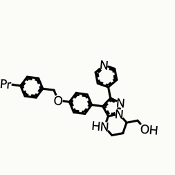 CC(C)c1ccc(COc2ccc(-c3c(-c4ccncc4)nn4c3NCCC4CO)cc2)cc1